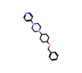 c1ccc(CO[C]2CCC(N3CCN(c4ccncc4)CC3)CC2)cc1